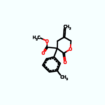 C=C1COC(=O)C(C(=O)OC)(c2cccc(C)c2)C1